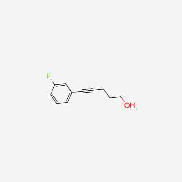 OCCCC#Cc1cccc(F)c1